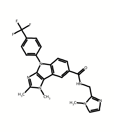 Cc1nc2c(c3cc(C(=O)NCc4nccn4C)ccc3n2-c2ccc(C(F)(F)F)cc2)n1C